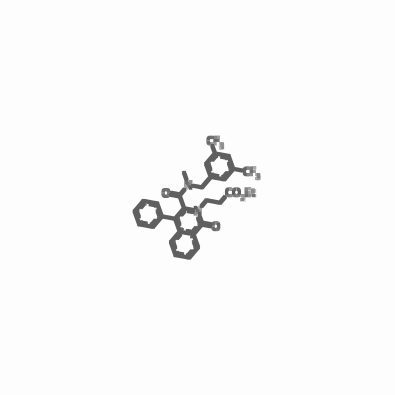 CCOC(=O)CCn1c(C(=O)N(C)Cc2cc(C(F)(F)F)cc(C(F)(F)F)c2)c(-c2ccccc2)c2ccccc2c1=O